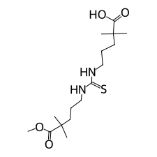 COC(=O)C(C)(C)CCCNC(=S)NCCCC(C)(C)C(=O)O